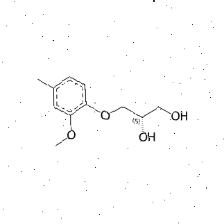 COc1cc(C)ccc1OC[C@@H](O)CO